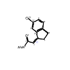 CNC(=O)/C=C1/CCc2ccc(Cl)cc21